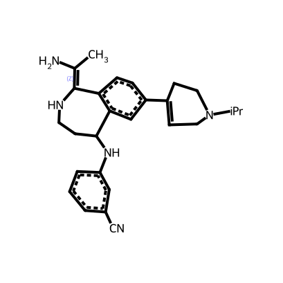 C/C(N)=C1/NCCC(Nc2cccc(C#N)c2)c2cc(C3=CCN(C(C)C)CC3)ccc21